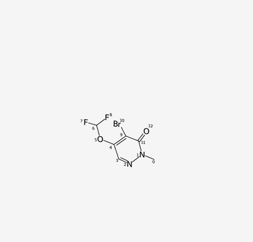 Cn1ncc(OC(F)F)c(Br)c1=O